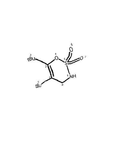 CC(C)(C)C1=C(C(C)(C)C)OS(=O)(=O)NC1